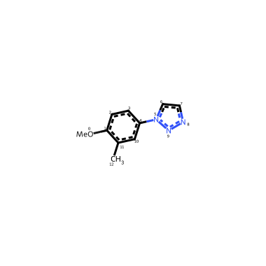 COc1ccc(-n2ccnn2)cc1C